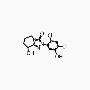 O=c1n(-c2cc(O)c(Cl)cc2Cl)nc2n1CCCC2O